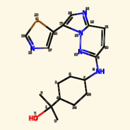 CC(C)(O)C1CCC(Nc2ccc3ncc(-c4cncs4)n3n2)CC1